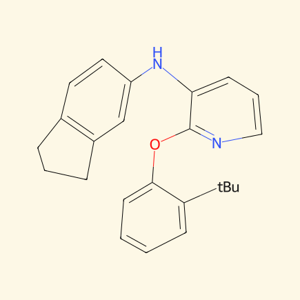 CC(C)(C)c1ccccc1Oc1ncccc1Nc1ccc2c(c1)CCC2